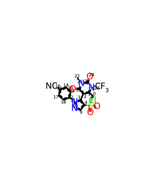 Cc1c(-c2c(S(=O)(=O)Cl)cnn2-c2ccc(C#N)cc2)c(=O)n(C)c(=O)n1C(F)(F)F